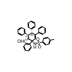 Cc1ccc(S(=O)(=O)N[C@@]2(c3ccccc3)C=C(c3ccccc3)[C@@H](c3ccccc3)[C@H](c3ccccc3)[C@H]2C=O)cc1